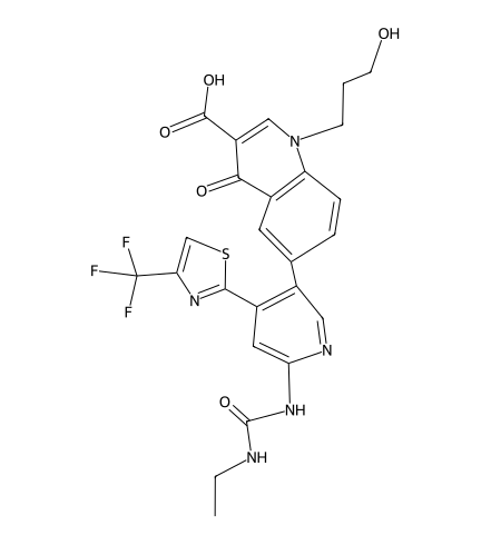 CCNC(=O)Nc1cc(-c2nc(C(F)(F)F)cs2)c(-c2ccc3c(c2)c(=O)c(C(=O)O)cn3CCCO)cn1